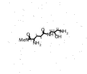 CNC(=O)C(N)CCC(=O)NCC(O)CN